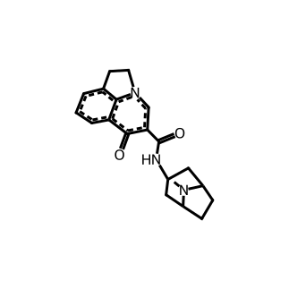 CN1C2CCC1CC(NC(=O)c1cn3c4c(cccc4c1=O)CC3)C2